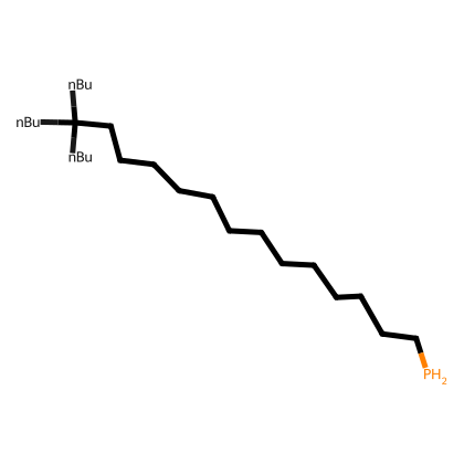 CCCCC(CCCC)(CCCC)CCCCCCCCCCCCCP